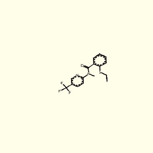 CCSc1ccccc1C(=O)N(C)c1ccc(C(F)(F)F)cn1